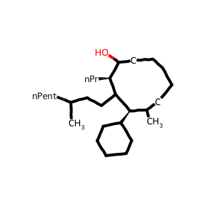 CCCCCC(C)CCC1[C@@H](CCC)C(O)CCCCCC(C)[C@H]1C1CCCCC1